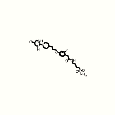 NS(=O)(=O)CCCCNC(=O)Cc1ccc(OCCCC2CCN(C3NCC(Cl)CN3)CC2)cc1F